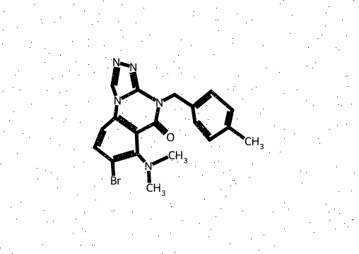 Cc1ccc(Cn2c(=O)c3c(N(C)C)c(Br)ccc3n3cnnc23)cc1